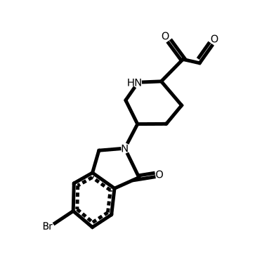 O=CC(=O)C1CCC(N2Cc3cc(Br)ccc3C2=O)CN1